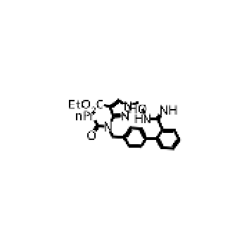 CCCC(=O)N(Cc1ccc(-c2ccccc2C(=N)NO)cc1)c1nn(C)cc1C(=O)OCC